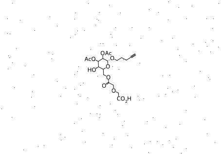 C#CCCCO[C@@H]1OC(COC(=O)COCC(=O)O)[C@@H](O)C(OC(C)=O)C1OC(C)=O